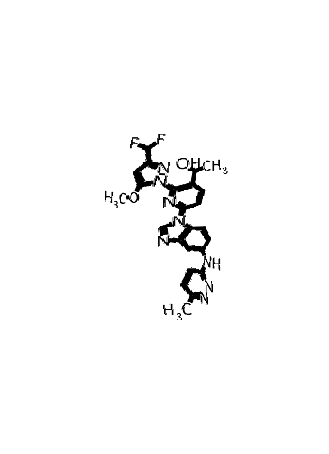 COc1cc(C(F)F)nn1-c1nc(-n2cnc3cc(Nc4ccc(C)nn4)ccc32)ccc1C(C)O